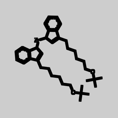 CC(C)(C)OCCCCCCC1=C[CH]([Zr][CH]2C=C(CCCCCCOC(C)(C)C)c3ccccc32)c2ccccc21